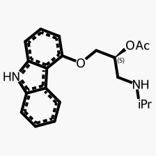 CC(=O)O[C@@H](CNC(C)C)COc1cccc2[nH]c3ccccc3c12